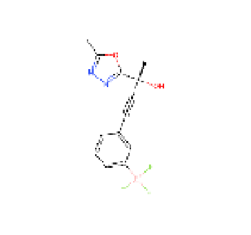 Cc1nnc([C@](C)(O)C#Cc2cccc([B-](F)(F)F)c2)o1